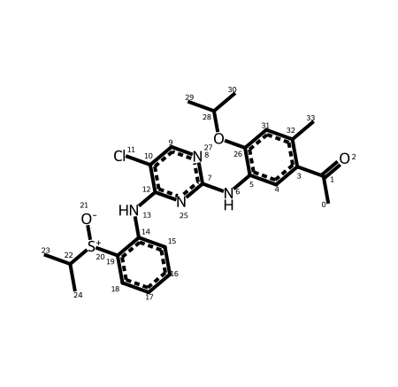 CC(=O)c1cc(Nc2ncc(Cl)c(Nc3ccccc3[S+]([O-])C(C)C)n2)c(OC(C)C)cc1C